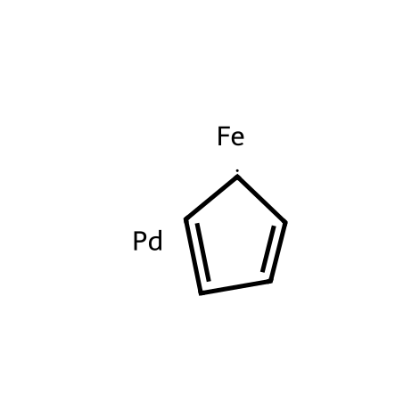 [CH]1C=CC=C1.[Fe].[Pd]